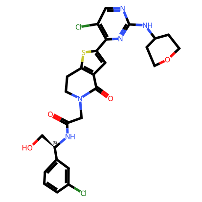 O=C(CN1CCc2sc(-c3nc(NC4CCOCC4)ncc3Cl)cc2C1=O)N[C@H](CO)c1cccc(Cl)c1